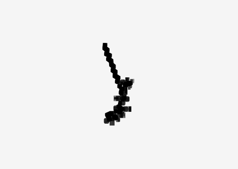 CCCCCCCCCCCCCCOC[C@@H](COP(=O)(O)OC[C@H]1O[C@@H](n2ccc(=O)[nH]c2=S)[C@](C)(O)C1O)NC(=O)C(F)(F)F